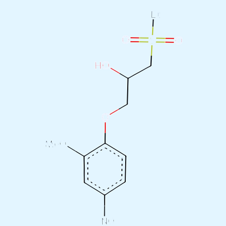 CCS(=O)(=O)CC(O)COc1ccc([N+](=O)[O-])cc1OC